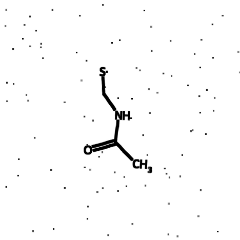 CC(=O)NC[S]